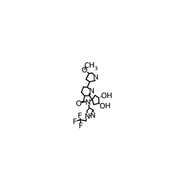 COC1CN=CC(C2CCC3C(=O)N(C4C=NN(CC(F)(F)F)C4)C4(C[C@H](O)[C@@H](O)C4)C3=N2)C1